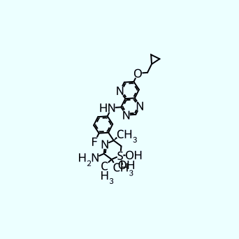 CC1(C)C(N)=N[C@](C)(c2cc(Nc3ncnc4cc(OCC5CC5)cnc34)ccc2F)CS1(O)O